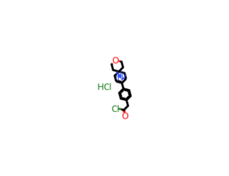 Cl.[N-]=[N+]1C2=C(c3ccc(CC(=O)Cl)cc3)C1CC1(CCOCC1)C2